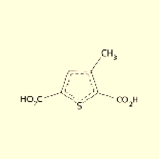 Cc1cc(C(=O)O)sc1C(=O)O